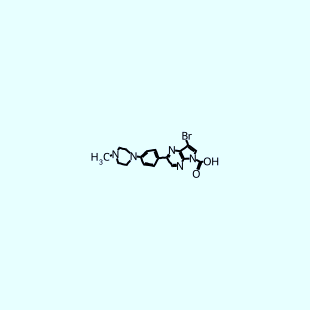 CN1CCN(c2ccc(-c3cnc4c(n3)c(Br)cn4C(=O)O)cc2)CC1